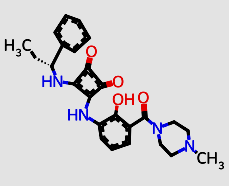 CC[C@@H](Nc1c(Nc2cccc(C(=O)N3CCN(C)CC3)c2O)c(=O)c1=O)c1ccccc1